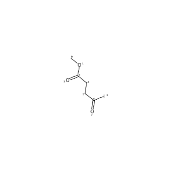 COC(=O)CCC(=O)I